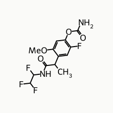 COc1cc(OC(N)=O)c(F)cc1C(C)C(=O)NC(F)C(F)F